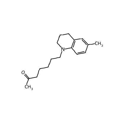 CC(=O)CCCCCN1CCCc2cc(C)ccc21